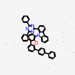 c1ccc(-c2ccc(-c3cccc4c3oc3c(-n5c6ccccc6c6cccc(-c7nc(-c8ccccc8)nc(-c8ccccc8)n7)c65)cccc34)cc2)cc1